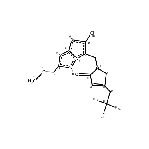 COCc1nn2c(CN3CC(CC(F)(F)F)=CC3=O)c(Cl)nc2s1